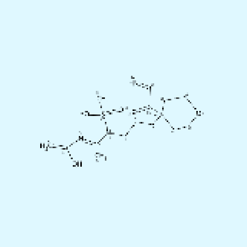 C=C(O)/N=C(\C)N(CCCC1(C(=O)C=N)CCOCC1)S(C)(=O)=O